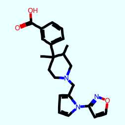 CC1CN(Cc2cccn2-c2ccon2)CCC1(C)c1cccc(C(=O)O)c1